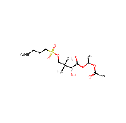 CCCC(OC(=O)C(C)C)OC(=O)[C@H](O)C(C)(C)COS(=O)(=O)CCCNC(C)=O